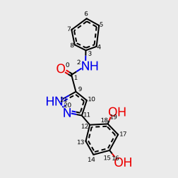 O=C(Nc1ccccc1)c1cc(-c2ccc(O)cc2O)n[nH]1